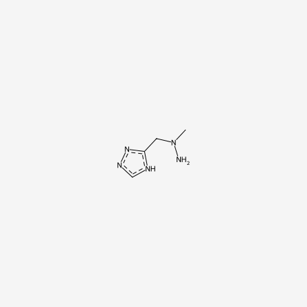 CN(N)Cc1nnc[nH]1